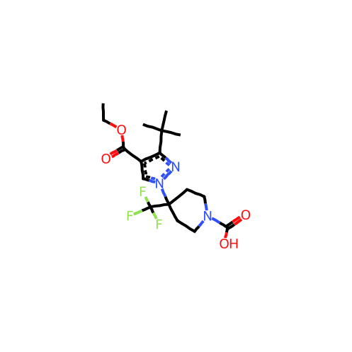 CCOC(=O)c1cn(C2(C(F)(F)F)CCN(C(=O)O)CC2)nc1C(C)(C)C